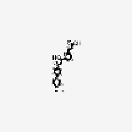 CN1CCN(c2ccc(C(=O)CC(O)c3cccc(C=CC(=O)O)n3)cc2)CC1